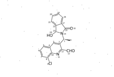 C[C@@H](c1cc2cccc(Cl)c2nc1C=O)N1C(=O)c2ccccc2C1O